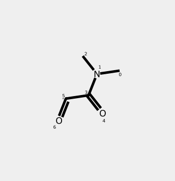 CN(C)C(=O)[C]=O